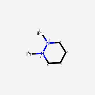 CC(C)N1CCCCN1C(C)C